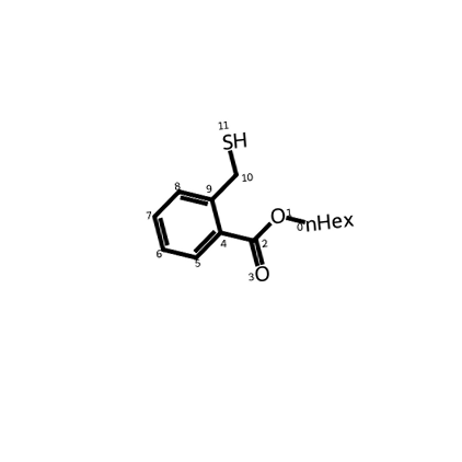 CCCCCCOC(=O)c1ccccc1CS